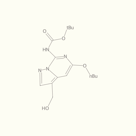 CCCCOc1cc2c(CO)cnn2c(NC(=O)OC(C)(C)C)n1